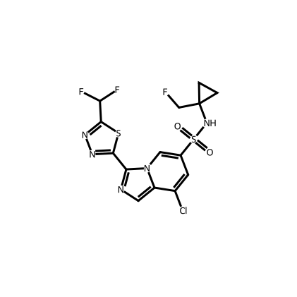 O=S(=O)(NC1(CF)CC1)c1cc(Cl)c2cnc(-c3nnc(C(F)F)s3)n2c1